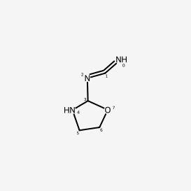 N=C=NC1NCCO1